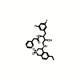 CCc1ccc2c(c1)C(NCC(O)C(Cc1cc(F)cc(F)c1)NC(=O)Cc1ccccc1)CS(=O)(=O)C2